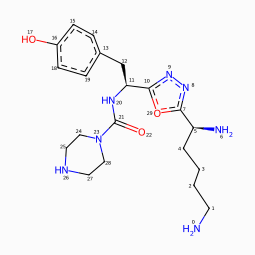 NCCCC[C@H](N)c1nnc([C@H](Cc2ccc(O)cc2)NC(=O)N2CCNCC2)o1